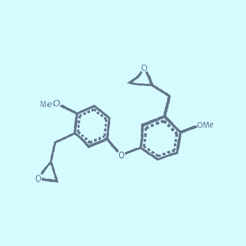 COc1ccc(Oc2ccc(OC)c(CC3CO3)c2)cc1CC1CO1